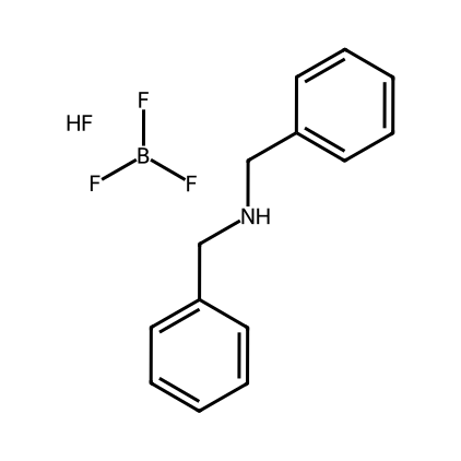 F.FB(F)F.c1ccc(CNCc2ccccc2)cc1